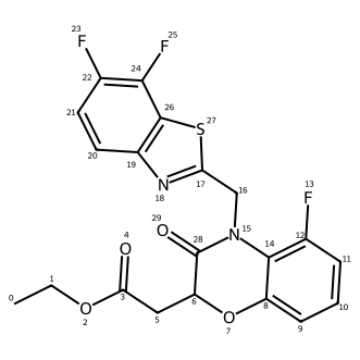 CCOC(=O)CC1Oc2cccc(F)c2N(Cc2nc3ccc(F)c(F)c3s2)C1=O